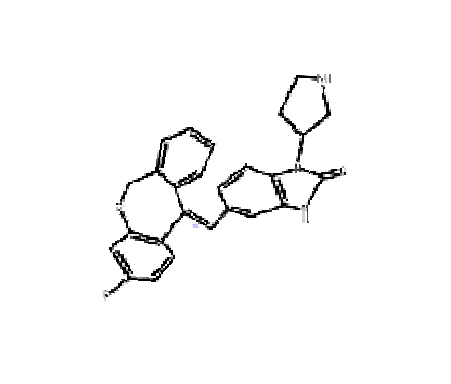 O=c1[nH]c2cc(/C=C3\c4ccccc4COc4cc(F)ccc43)ccc2n1C1CCNC1